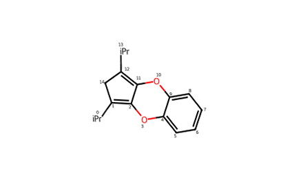 CC(C)C1=C2Oc3ccccc3OC2=C(C(C)C)C1